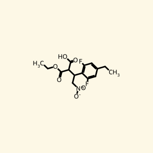 CCOC(=O)C(C(=O)O)C(C[N+](=O)[O-])c1c(F)cc(CC)cc1F